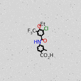 CCOc1c(Cl)cc(C(=O)Nc2ccc(C(=O)O)c(C)c2)cc1C(F)(F)F